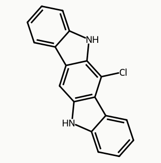 Clc1c2[nH]c3ccccc3c2cc2[nH]c3ccccc3c12